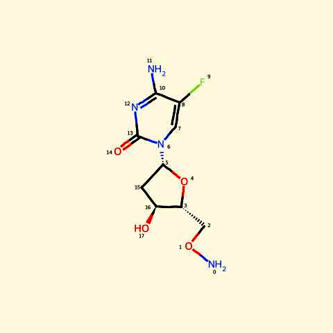 NOC[C@H]1O[C@@H](n2cc(F)c(N)nc2=O)C[C@@H]1O